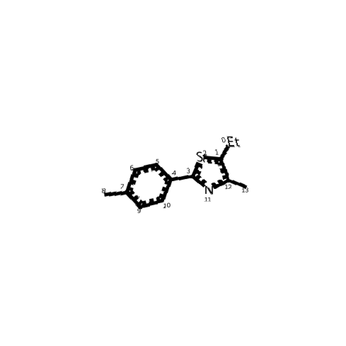 [CH2]Cc1sc(-c2ccc(C)cc2)nc1C